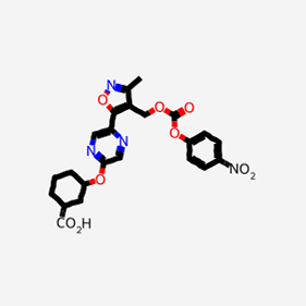 Cc1noc(-c2cnc(OC3CCCC(C(=O)O)C3)cn2)c1COC(=O)Oc1ccc([N+](=O)[O-])cc1